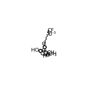 C[C@]12C[C@H](c3ccc(OCCCCCC[S+]([O-])CC(F)(F)F)cc3)[C@@H]3c4ccc(O)cc4CC[C@H]3[C@@H]1CC[C@@H]2O